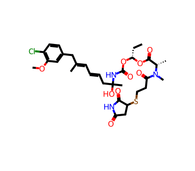 CC[C@@H](OC(=O)NC(C)(O)C/C=C/C=C(\C)Cc1ccc(Cl)c(OC)c1)OC(=O)[C@H](C)N(C)C(=O)CCSC1CC(=O)NC1=O